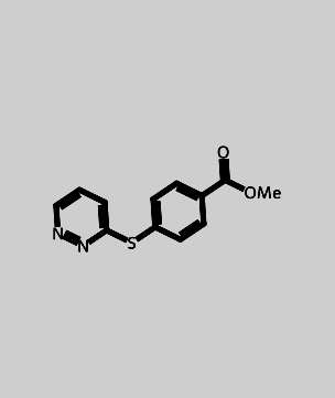 COC(=O)c1ccc(Sc2cccnn2)cc1